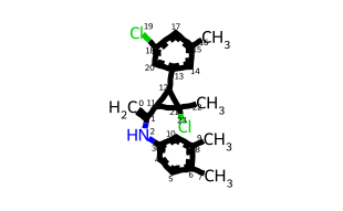 C=C(Nc1ccc(C)c(C)c1)C1C(c2cc(C)cc(Cl)c2)C1(C)Cl